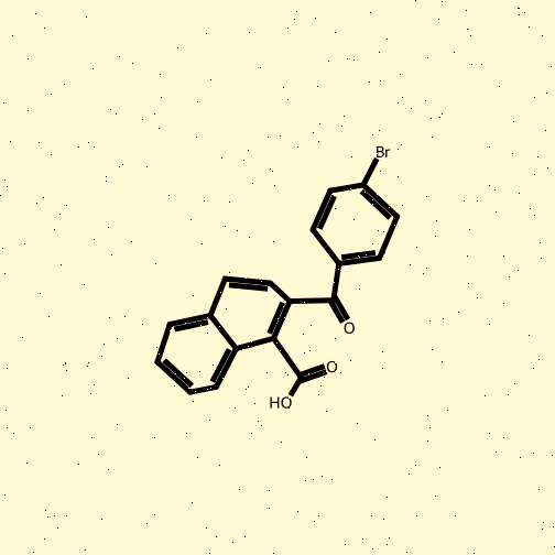 O=C(c1ccc(Br)cc1)c1ccc2ccccc2c1C(=O)O